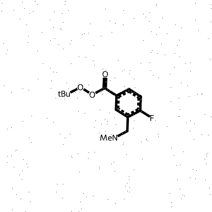 CNCc1cc(C(=O)OOC(C)(C)C)ccc1F